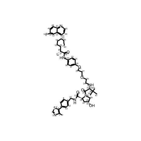 Cc1ncsc1-c1ccc(CNC(=O)[C@@H]2C[C@@H](O)CN2C(=O)[C@@H](NCCOCCOc2ccc(NC(=O)[C@H](C)[C@H]3CC[C@@H](c4ccnc5ccc(F)cc54)CC3)cc2)C(C)(C)C)cc1